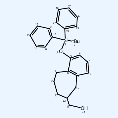 CC(C)(C)[Si](Oc1cccc2c1CCCC(CO)C2)(c1ccccc1)c1ccccc1